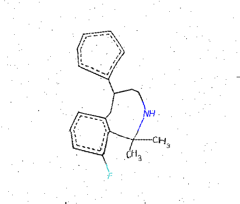 CC1(C)NCC(c2ccccc2)c2cccc(F)c21